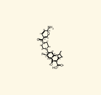 CC1Cc2c(C(=O)O)c(=O)c3cc(F)c(N4CCN(C(=O)C5=COC(N)C=C5)CC4)cc3n21